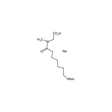 CCCCCCCCCCCCCCCC(=O)N(C)CC(=O)O.[Na]